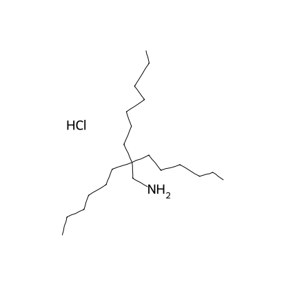 CCCCCCCC(CN)(CCCCCC)CCCCCC.Cl